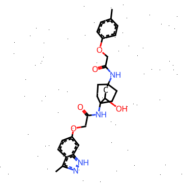 Cc1ccc(OCC(=O)NC23CCC(NC(=O)COc4ccc5c(C)n[nH]c5c4)(CC2)C(O)C3)cc1